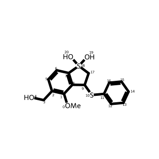 COc1c(CO)ccc2c1C(Sc1ccccc1)CS2(O)O